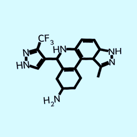 CC1=NNC2C=CC3=C(C4=C(CC(N)CC4)C(c4c[nH]nc4C(F)(F)F)N3)C12